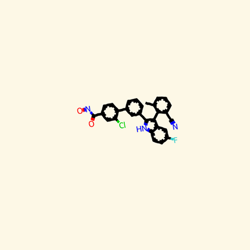 Cc1cccc(C#N)c1-c1c(-c2cccc(-c3ccc(C(=O)N=O)cc3Cl)c2)[nH]c2ccc(F)cc12